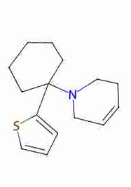 C1=CCN(C2(c3cccs3)CCCCC2)CC1